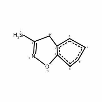 [SiH3]C1=NOc2ccccc2C1